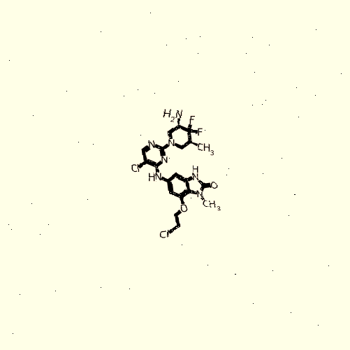 C[C@H]1CN(c2ncc(Cl)c(Nc3cc(OCCCl)c4c(c3)[nH]c(=O)n4C)n2)C[C@@H](N)C1(F)F